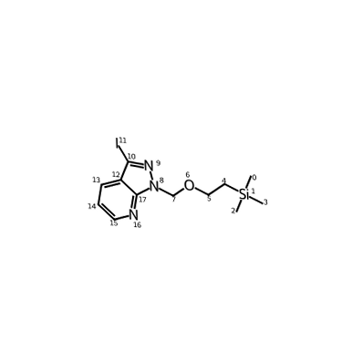 C[Si](C)(C)CCOCn1nc(I)c2cccnc21